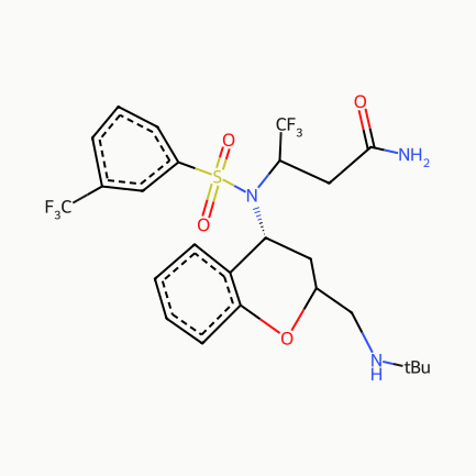 CC(C)(C)NCC1C[C@@H](N(C(CC(N)=O)C(F)(F)F)S(=O)(=O)c2cccc(C(F)(F)F)c2)c2ccccc2O1